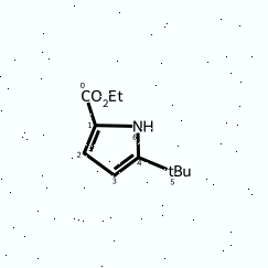 CCOC(=O)c1ccc(C(C)(C)C)[nH]1